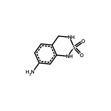 Nc1ccc2c(c1)NS(=O)(=O)NC2